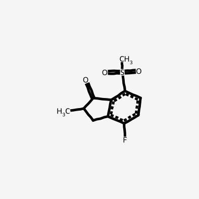 CC1Cc2c(F)ccc(S(C)(=O)=O)c2C1=O